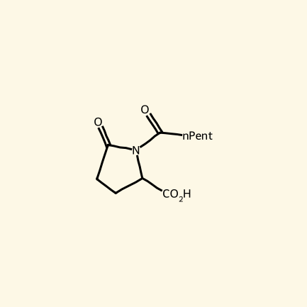 CCCCCC(=O)N1C(=O)CCC1C(=O)O